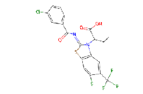 CCC(C(=O)O)n1/c(=N/C(=O)c2cccc(Cl)c2)sc2cc(F)c(C(F)(F)F)cc21